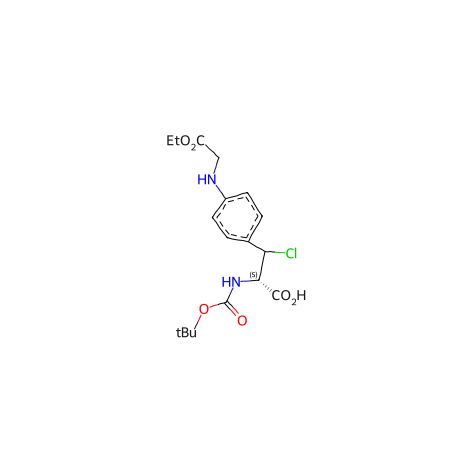 CCOC(=O)CNc1ccc(C(Cl)[C@@H](NC(=O)OC(C)(C)C)C(=O)O)cc1